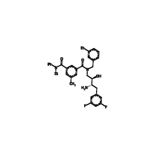 CCc1cccc(CN(C[C@@H](O)[C@@H](N)Cc2cc(F)cc(F)c2)C(=O)c2cc(C)cc(C(=O)N(CC)C(C)C)c2)c1